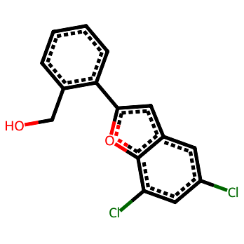 OCc1ccccc1-c1cc2cc(Cl)cc(Cl)c2o1